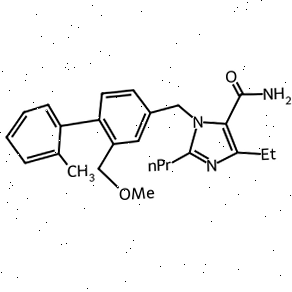 CCCc1nc(CC)c(C(N)=O)n1Cc1ccc(-c2ccccc2C)c(COC)c1